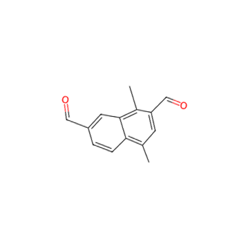 Cc1cc(C=O)c(C)c2cc(C=O)ccc12